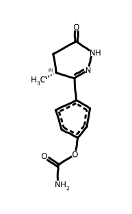 C[C@@H]1CC(=O)NN=C1c1ccc(OC(N)=O)cc1